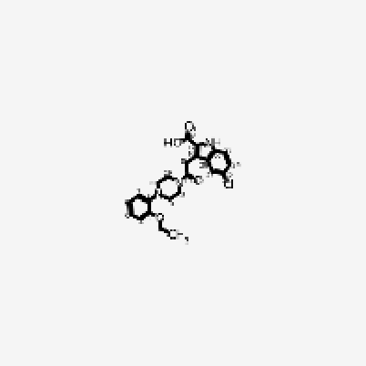 CCOc1ccccc1N1CCN(C(=O)Cc2c(C(=O)O)[nH]c3ccc(Cl)cc23)CC1